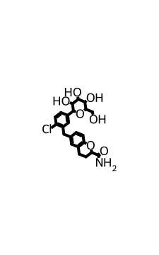 NC(=O)C1CCc2cc(Cc3cc(C4OC(CO)C(O)C(O)C4O)ccc3Cl)ccc2O1